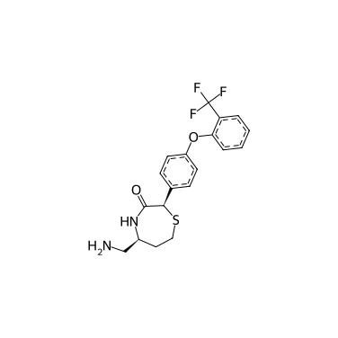 NC[C@@H]1CCS[C@H](c2ccc(Oc3ccccc3C(F)(F)F)cc2)C(=O)N1